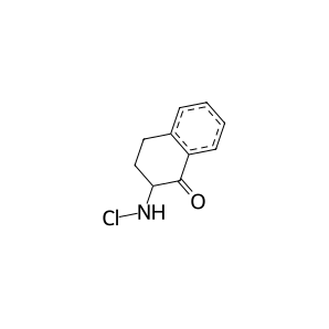 O=C1c2ccccc2CCC1NCl